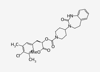 COC(=O)[C@@H](Cc1cc(C)c(Cl)c(C)c1)OC(=O)N1CCC(N2CCc3ccccc3NC2=O)CC1